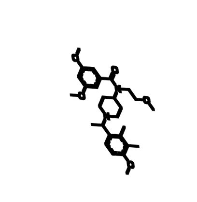 COCCN(C(=O)c1cc(OC)cc(OC)c1)C1CCN(C(C)c2ccc(OC)c(C)c2C)CC1